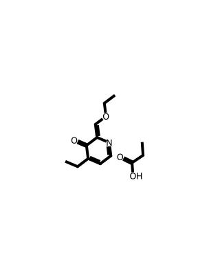 CCC(=O)O.CCOC=C1N=CC=C(CC)C1=O